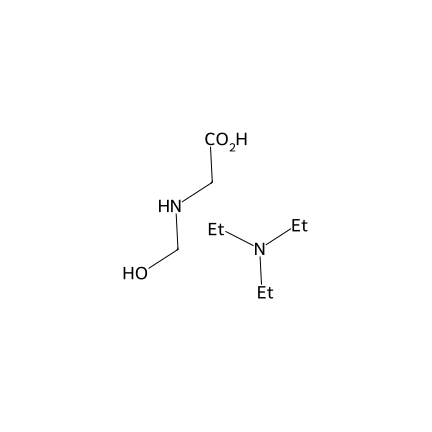 CCN(CC)CC.O=C(O)CNCO